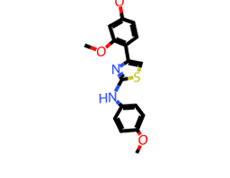 COc1ccc(Nc2nc(-c3ccc(OC)cc3OC)cs2)cc1